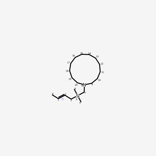 C/C=C/C[Si](C)(C)CN1CCCCCCCCCCCC1